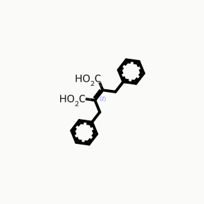 O=C(O)/C(Cc1ccccc1)=C(/Cc1ccccc1)C(=O)O